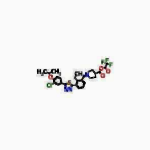 CCc1c(CN2CCC(C(=O)OC(=O)C(F)(F)F)CC2)cccc1-c1nnc(-c2ccc(OC(C)C)c(Cl)c2)s1